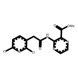 COC(=O)c1nccnc1NC(=O)Cc1ccc(Cl)nc1Cl